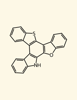 c1ccc2c(c1)[nH]c1c3oc4ccccc4c3c3sc4ccccc4c3c21